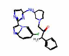 CC(C(=O)CN1CCCC(Nc2ccnc(-c3cnc4ccc(F)cn34)n2)C1)c1ccccc1